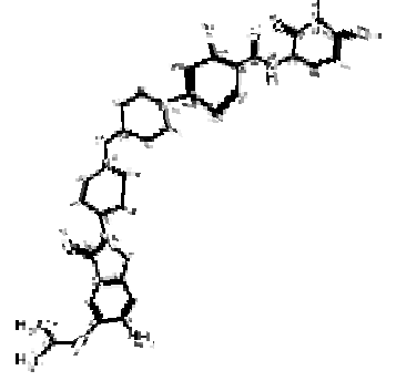 CC(C)Oc1cc2c(cc1N)CN(C1CCN(CC3CCN(c4ccc(C(=O)NC5CCC(=O)NC5=O)c(F)c4)CC3)CC1)C2=O